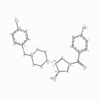 [C-]#[N+]c1ccc(C(=O)N2C[C@@H](O)[C@H](N3CCN(Cc4ccc(Cl)cc4)CC3)C2)cc1